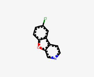 Clc1ccc2oc3cnccc3c2c1